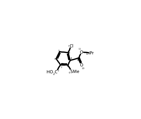 CSc1c(C(=O)O)ccc(Cl)c1C(=O)OC(C)C